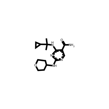 CC(C)(Nc1nc(NC2CCOCC2)ncc1C(N)=O)C1CC1